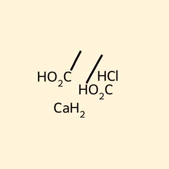 CC(=O)O.CC(=O)O.Cl.[CaH2]